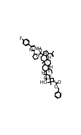 C=C(C)C1CCC2(C(=O)N3CCC[C@H]3c3nc(-c4ccc(F)cc4)c[nH]3)CCC3(C)[C@H](CC[C@@H]4[C@]5(C)CC[C@H]([C@@]6(C(=O)O)C[C@@H](C(=O)OCc7ccccc7)C6(C)C)C(C)(C)[C@H]5CC[C@]43C)[C@@H]12